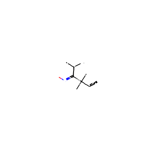 C=CC(C)(C)C(=NO)C(C)[SiH3]